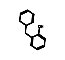 Oc1ccccc1CC1C=CC=CC1